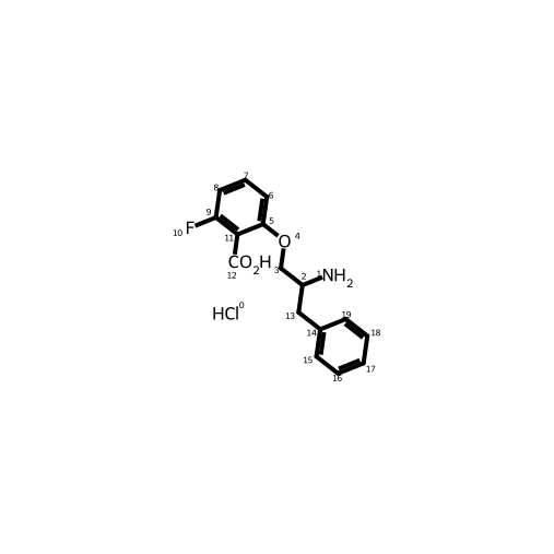 Cl.NC(COc1cccc(F)c1C(=O)O)Cc1ccccc1